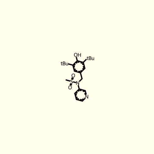 CC(C)(C)c1cc(CN(c2cccnc2)S(C)(=O)=O)cc(C(C)(C)C)c1O